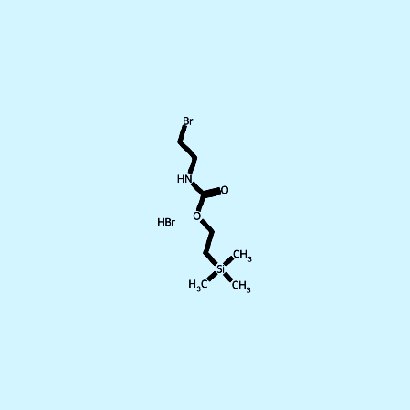 Br.C[Si](C)(C)CCOC(=O)NCCBr